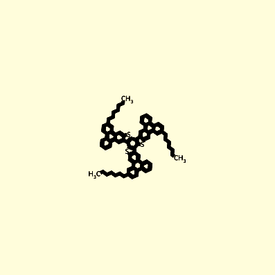 CCCCCCCc1ccc2c3ccccc3c3cc4c(cc3c2c1)sc1c4c2sc3cc4c5cc(CCCCCCC)ccc5c5ccccc5c4cc3c2c2sc3cc4c5cc(CCCCCCC)ccc5c5ccccc5c4cc3c12